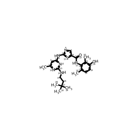 Cc1cc(Nc2ncc(C(=O)Nc3c(C)ccc(O)c3C)s2)nc(NCCC(C)(C)C)n1